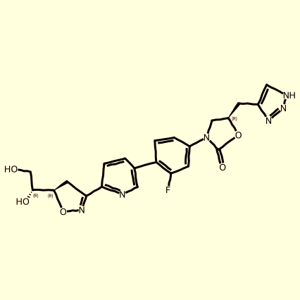 O=C1O[C@H](Cc2c[nH]nn2)CN1c1ccc(-c2ccc(C3=NO[C@@H]([C@H](O)CO)C3)nc2)c(F)c1